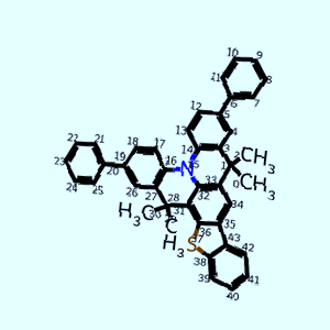 CC1(C)c2cc(-c3ccccc3)ccc2N2c3ccc(-c4ccccc4)cc3C(C)(C)c3c2c1cc1c3sc2ccccc21